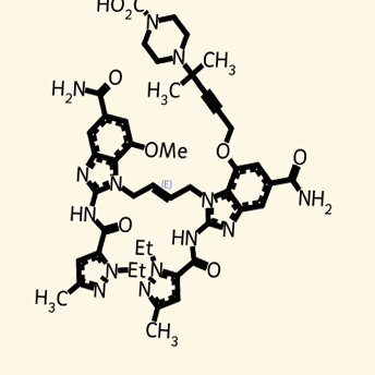 CCn1nc(C)cc1C(=O)Nc1nc2cc(C(N)=O)cc(OC)c2n1C/C=C/Cn1c(NC(=O)c2cc(C)nn2CC)nc2cc(C(N)=O)cc(OCC#CC(C)(C)N3CCN(C(=O)O)CC3)c21